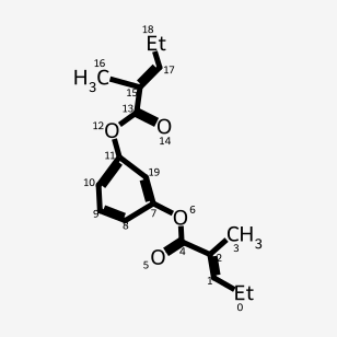 CC/C=C(\C)C(=O)Oc1cccc(OC(=O)/C(C)=C/CC)c1